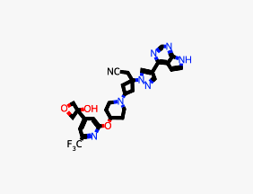 N#CCC1(n2cc(-c3ncnc4[nH]ccc34)cn2)CC(N2CCC(Oc3cc(C4(O)COC4)cc(C(F)(F)F)n3)CC2)C1